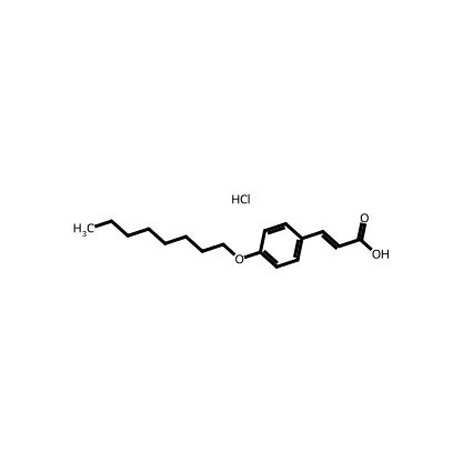 CCCCCCCCOc1ccc(C=CC(=O)O)cc1.Cl